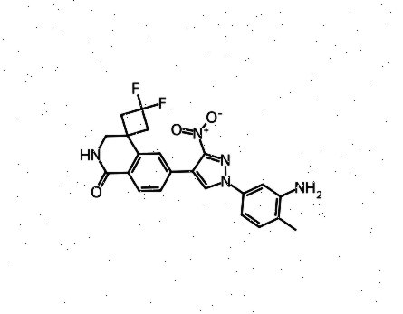 Cc1ccc(-n2cc(-c3ccc4c(c3)C3(CNC4=O)CC(F)(F)C3)c([N+](=O)[O-])n2)cc1N